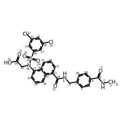 CNC(=O)c1ccc(CNC(=O)c2cccc3c(N(CC(=O)O)S(=O)(=O)c4cc(Cl)cc(Cl)c4)cccc23)cc1